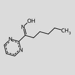 CCCCCC(=NO)c1ncccn1